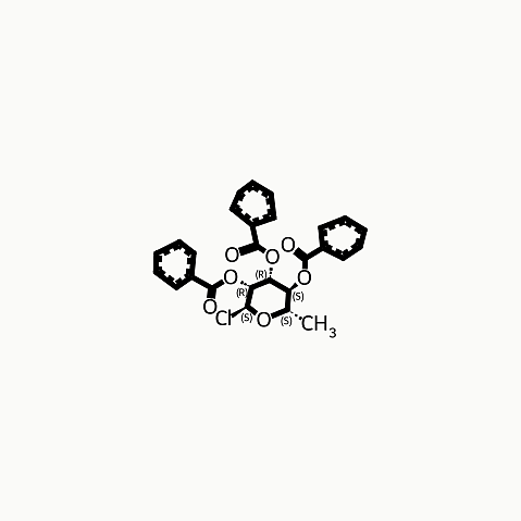 C[C@@H]1O[C@@H](Cl)[C@H](OC(=O)c2ccccc2)[C@H](OC(=O)c2ccccc2)[C@H]1OC(=O)c1ccccc1